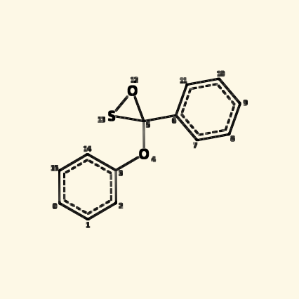 c1ccc(OC2(c3ccccc3)OS2)cc1